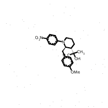 COc1ccc(C[C@@H]2[C@@H](C(C)(C)O)CCCN2c2ccc([N+](=O)[O-])cc2)cc1